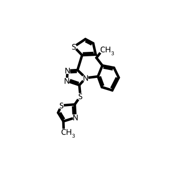 CCc1ccccc1-n1c(Sc2nc(C)cs2)nnc1-c1cccs1